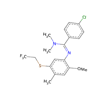 COc1cc(C)c(SCC(F)(F)F)cc1/N=C(/c1ccc(Cl)cc1)N(C)C